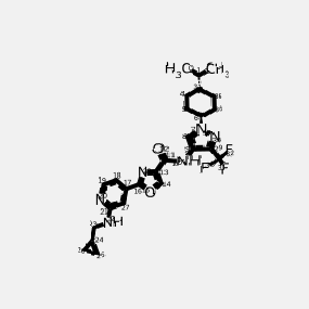 CC(C)[C@H]1CC[C@H](n2cc(NC(=O)c3coc(-c4ccnc(NCC5CC5)c4)n3)c(C(F)(F)F)n2)CC1